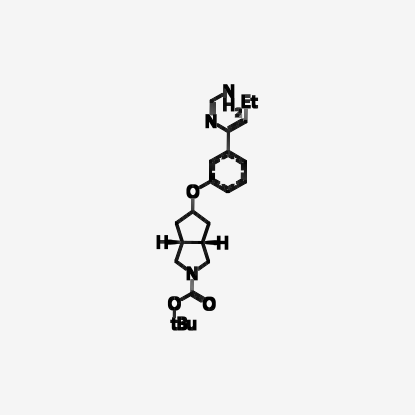 CC/C=C(\N=C/N)c1cccc(OC2C[C@@H]3CN(C(=O)OC(C)(C)C)C[C@@H]3C2)c1